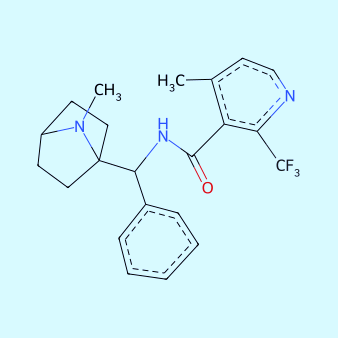 Cc1ccnc(C(F)(F)F)c1C(=O)NC(c1ccccc1)C12CCC(CC1)N2C